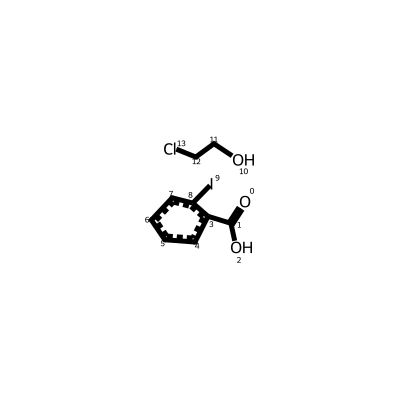 O=C(O)c1ccccc1I.OCCCl